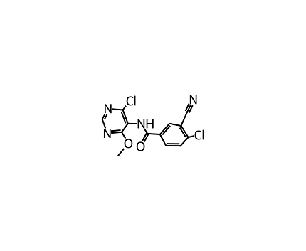 COc1ncnc(Cl)c1NC(=O)c1ccc(Cl)c(C#N)c1